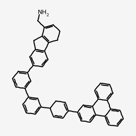 NCC1=CCCC2=C1Cc1cc(-c3cccc(-c4cccc(C5C=CC(c6ccc7c8ccccc8c8ccccc8c7c6)=CC5)c4)c3)ccc12